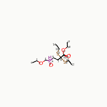 CCOC[PH](=O)CCC(SCC)(SCC)C(=O)OCC